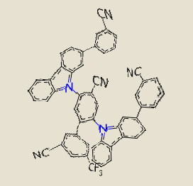 N#Cc1cccc(-c2ccc3c4ccccc4n(-c4cc(-c5cc(C#N)cc(C(F)(F)F)c5)c(-n5c6ccccc6c6ccc(-c7cccc(C#N)c7)cc65)cc4C#N)c3c2)c1